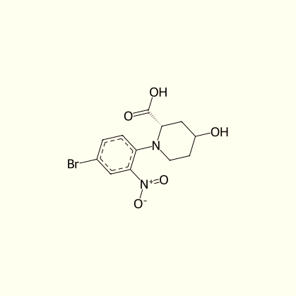 O=C(O)[C@@H]1CC(O)CCN1c1ccc(Br)cc1[N+](=O)[O-]